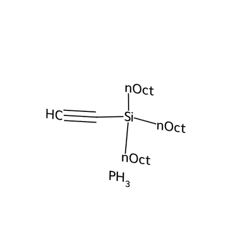 C#C[Si](CCCCCCCC)(CCCCCCCC)CCCCCCCC.P